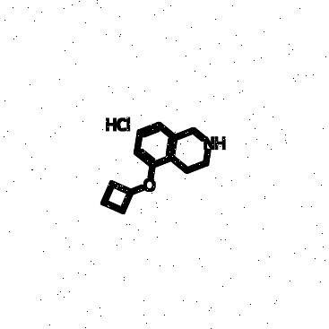 Cl.c1cc2c(c(OC3CCC3)c1)CCNC2